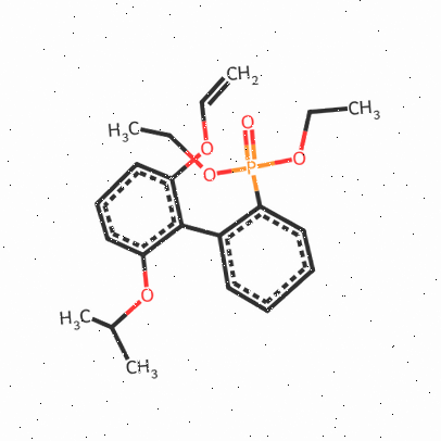 C=COc1cccc(OC(C)C)c1-c1ccccc1P(=O)(OCC)OCC